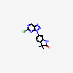 CC1(C)C(=O)Nc2cc(-n3nnc4cnc(Cl)nc43)ccc21